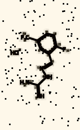 Cl.N=C(N)NN=Cc1cc(C(F)(F)F)ccc1F